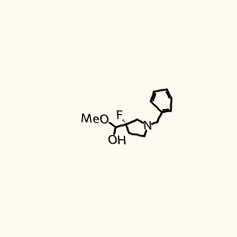 COC(O)[C@]1(F)CCN(Cc2ccccc2)C1